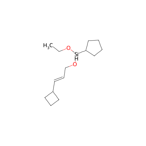 CCO[SiH](OCC=CC1CCC1)C1CCCC1